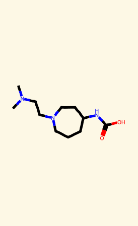 CN(C)CCN1CCCC(NC(=O)O)CC1